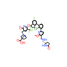 COc1nc(-c2cccc(-c3cc(F)cc4c3CC[C@@H]4Oc3nc(OC)c(CN4CC5(C(=O)O)CCC4CC5)cc3C(F)(F)F)c2Cl)ccc1CNC[C@@H]1CCC(=O)N1